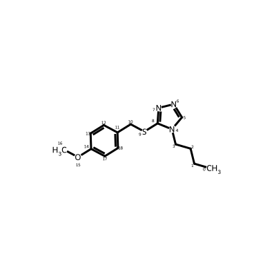 CCCCn1cnnc1SCc1ccc(OC)cc1